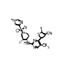 Cc1sc(-c2nc(N[C@H]3CCN(S(=O)(=O)c4cn(C)cn4)C[C@H]3F)ncc2C(F)(F)F)cc1C#N